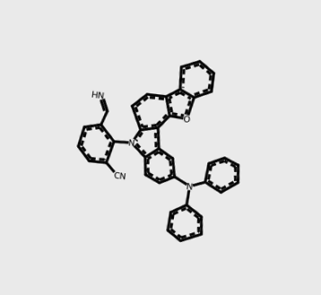 N#Cc1cccc(C=N)c1-n1c2ccc(N(c3ccccc3)c3ccccc3)cc2c2c3oc4ccccc4c3ccc21